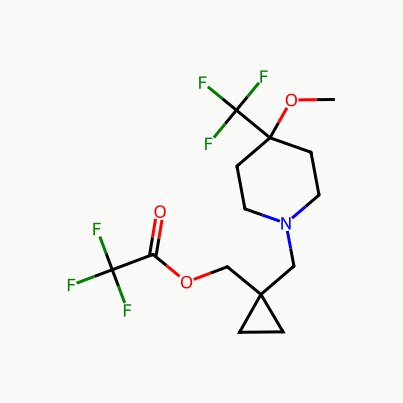 COC1(C(F)(F)F)CCN(CC2(COC(=O)C(F)(F)F)CC2)CC1